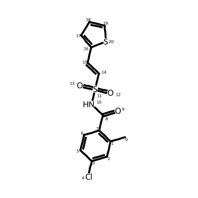 Cc1cc(Cl)ccc1C(=O)NS(=O)(=O)/C=C/c1cccs1